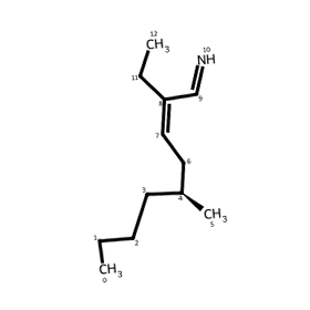 CCCC[C@H](C)C/C=C(\C=N)CC